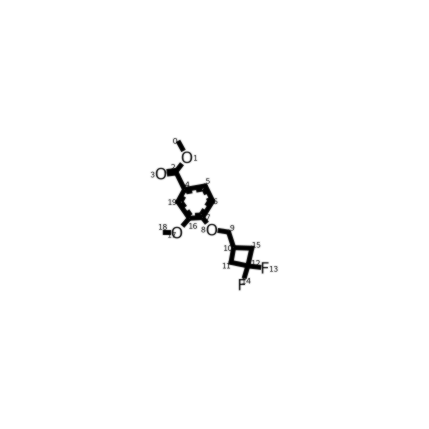 COC(=O)c1ccc(OCC2CC(F)(F)C2)c(OC)c1